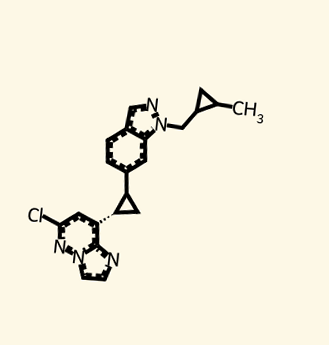 CC1CC1Cn1ncc2ccc(C3C[C@@H]3c3cc(Cl)nn4ccnc34)cc21